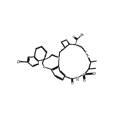 CC1CCC[C@H](C(=O)O)C2CCC2CN2CC3(CCCc4cc(Cl)ccc43)COc3ccc(cc32)C(=O)NS(=O)(=O)C1C